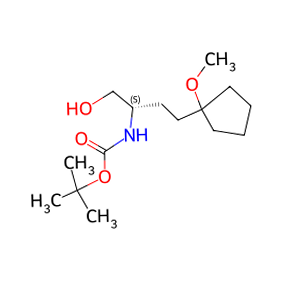 COC1(CC[C@@H](CO)NC(=O)OC(C)(C)C)CCCC1